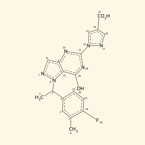 Cc1cc(C(C)n2ncc3nc(-n4cc(C(=O)O)cn4)nc(O)c32)ccc1F